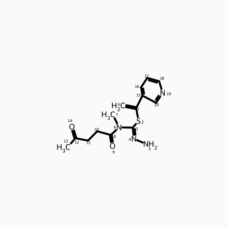 C=C(S/C(=N\N)N(C)C(=O)CCC(C)=O)c1cccnc1